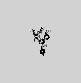 CCOCc1sc(Nc2nc(NCc3ccc(C)cc3)cc(N3CCCC(CO)C3)n2)nc1ON=[N+]=[N-]